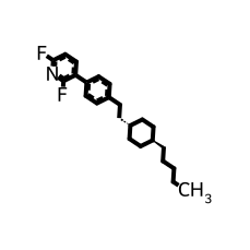 CCCCC[C@H]1CC[C@H](CCc2ccc(-c3ccc(F)nc3F)cc2)CC1